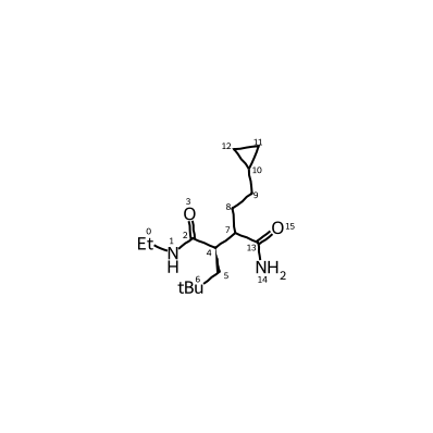 CCNC(=O)[C@H](CC(C)(C)C)C(CCC1CC1)C(N)=O